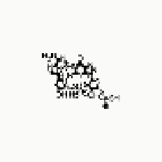 Nc1nc2c(nnn2[C@@H]2S[C@H](CO[PH](=O)S)[C@@H](O)[C@H]2OP(=O)(S)OC[C@H]2O[C@@H](c3cnc4c(N)ncnn34)C[C@@H]2O)c(=O)[nH]1